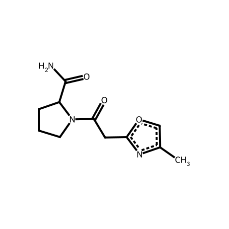 Cc1coc(CC(=O)N2CCCC2C(N)=O)n1